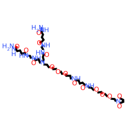 NNC(=O)CCCC(=O)NCCNC(=O)CCN(CCCOCCOCCOCCCNC(=O)CCCC(=O)NCCCOCCOCCOCCCN1C(=O)C=CC1=O)CCC(=O)NCCNC(=O)CCCC(=O)NN